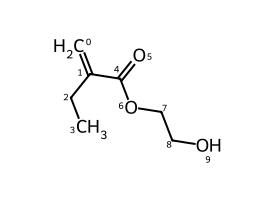 C=C(CC)C(=O)OCCO